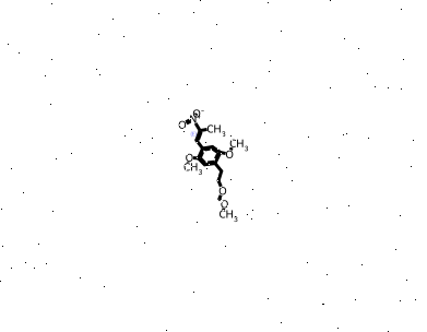 COCOCCc1cc(OC)c(/C=C(\C)[N+](=O)[O-])cc1OC